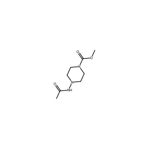 COC(=O)N1CCN(NC(C)=O)CC1